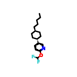 CCCCC[C@H]1CC[C@H](c2ccc(OC(F)F)nc2)CC1